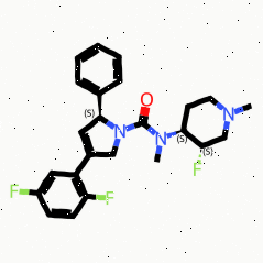 CN1CC[C@H](N(C)C(=O)N2CC(c3cc(F)ccc3F)=C[C@H]2c2ccccc2)[C@@H](F)C1